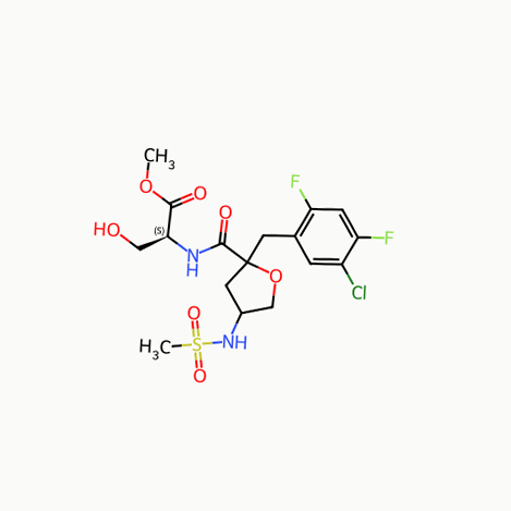 COC(=O)[C@H](CO)NC(=O)C1(Cc2cc(Cl)c(F)cc2F)CC(NS(C)(=O)=O)CO1